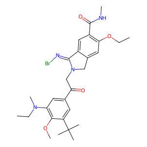 CCOc1cc2c(cc1C(=O)NC)/C(=N/Br)N(CC(=O)c1cc(N(C)CC)c(OC)c(C(C)(C)C)c1)C2